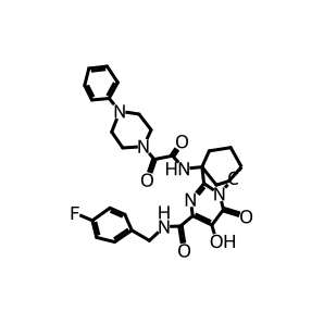 O=C(NC12CCC(CC1)Cn1c2nc(C(=O)NCc2ccc(F)cc2)c(O)c1=O)C(=O)N1CCN(c2ccccc2)CC1